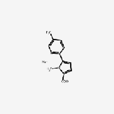 Cn1c(C(=O)[O-])ccc1-c1ccc(C(F)(F)F)cn1.[Na+]